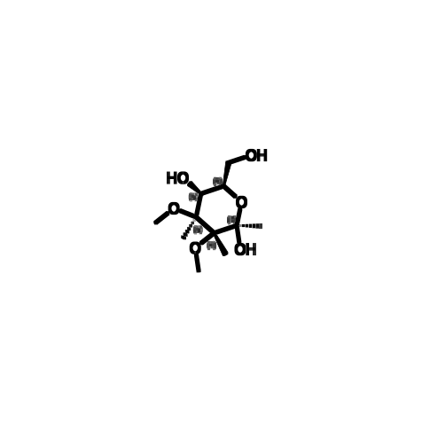 CO[C@]1(C)[C@@](C)(OC)[C@@H](O)[C@@H](CO)O[C@@]1(C)O